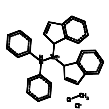 C1=C[CH]([Zr+2]([CH]2C=Cc3ccccc32)[SiH](c2ccccc2)c2ccccc2)c2ccccc21.C[O-].[Cl-]